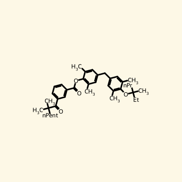 CCCCCC(C)(C)C(=O)c1cccc(C(=O)Oc2c(C)cc(Cc3cc(C)c(OC(C)(CC)CCC)c(C)c3)cc2C)c1